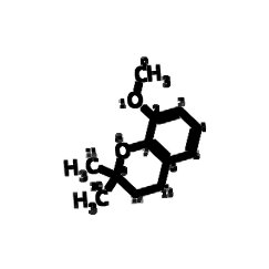 COc1cccc2c1OC(C)(C)C[CH]2